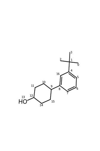 CC(C)(C)c1cccc(C2CCC(O)CC2)c1